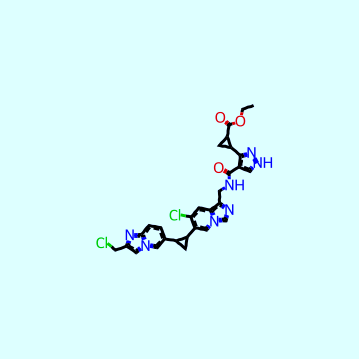 CCOC(=O)C1CC1c1n[nH]cc1C(=O)NCc1ncn2cc(C3CC3c3ccc4nc(CCl)cn4c3)c(Cl)cc12